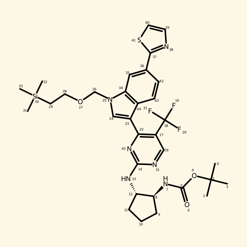 CC(C)(C)OC(=O)N[C@H]1CCC[C@@H]1Nc1ncc(C(F)(F)F)c(-c2cn(COCC[Si](C)(C)C)c3cc(-c4nccs4)ccc23)n1